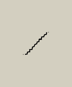 [CH2]CCCCC=CCCCCCCCCCCC[CH2]